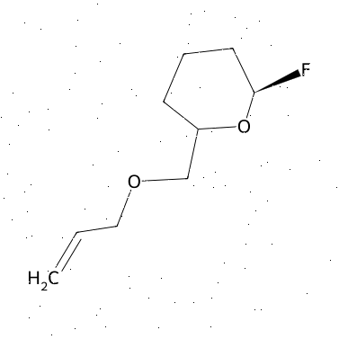 C=CCOCC1CCC[C@@H](F)O1